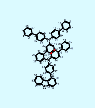 c1ccc(-c2ccc(N(c3ccc(-c4ccccc4)cc3)c3cccc(-c4ccccc4N(c4ccc(-c5ccccc5)cc4)c4ccc(-c5cccc6oc7ccccc7c56)cc4)c3)cc2)cc1